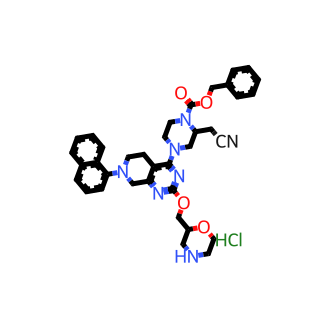 Cl.N#CCC1CN(c2nc(OCC3CNCCO3)nc3c2CCN(c2cccc4ccccc24)C3)CCN1C(=O)OCc1ccccc1